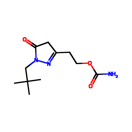 CC(C)(C)CN1N=C(CCOC(N)=O)CC1=O